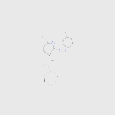 Cc1cccc(Nc2nc(Cl)ccc2C(=O)NC2CCCCCC2)c1